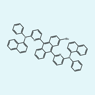 CC(C)(C)c1ccc2c(-c3cccc(N(c4ccccc4)c4cccc5ccccc45)n3)c3ccccc3c(-c3cccc(N(c4ccccc4)c4cccc5ccccc45)n3)c2c1